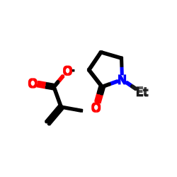 C=C(C)C([O])=O.CCN1CCCC1=O